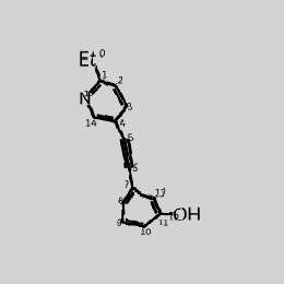 CCc1ccc(C#Cc2cccc(O)c2)cn1